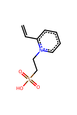 C=Cc1cccc[n+]1CCS(=O)(=O)O